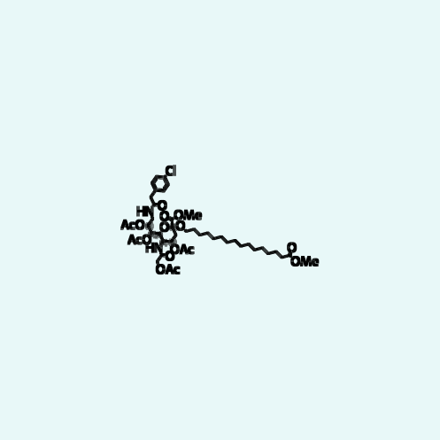 COC(=O)CCCCCCCCCCCCCCCO[C@]1(C(=O)OC)C[C@H](OC(C)=O)[C@@H](NC(=O)COC(C)=O)[C@H]([C@H](OC(C)=O)[C@@H](CNC(=O)Cc2ccc(Cl)cc2)OC(C)=O)O1